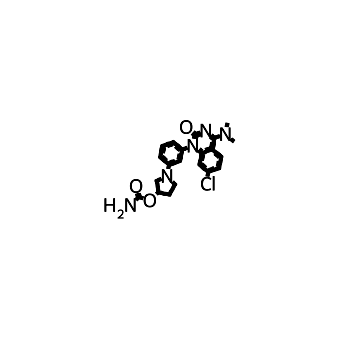 CN(C)c1nc(=O)n(-c2cccc(N3CCC(OC(N)=O)C3)c2)c2cc(Cl)ccc12